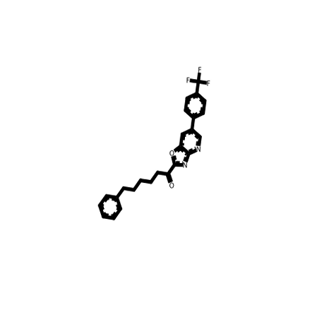 O=C(CCCCCc1ccccc1)c1nc2ncc(-c3ccc(C(F)(F)F)cc3)cc2o1